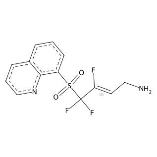 NC/C=C(\F)C(F)(F)S(=O)(=O)c1cccc2cccnc12